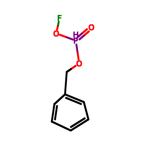 O=[PH](OF)OCc1ccccc1